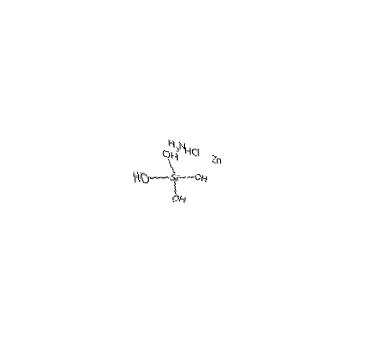 Cl.N.O[Si](O)(O)O.[Zn]